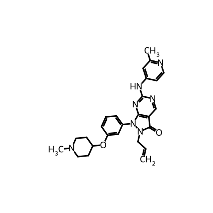 C=CCn1c(=O)c2cnc(Nc3ccnc(C)c3)nc2n1-c1cccc(OC2CCN(C)CC2)c1